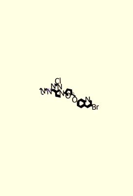 CN(C)/C=N/c1nc(Cl)nc2c1ccn2C1CC[C@@H](COc2ccc3cc(Br)cnc3c2)O1